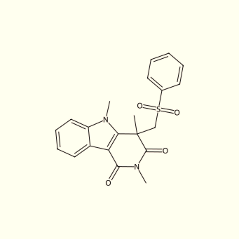 CN1C(=O)c2c(n(C)c3ccccc23)C(C)(CS(=O)(=O)c2ccccc2)C1=O